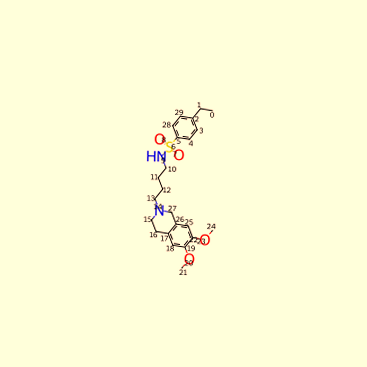 CCc1ccc(S(=O)(=O)NCCCCN2CCc3cc(OC)c(OC)cc3C2)cc1